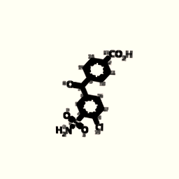 NS(=O)(=O)c1cc(C(=O)c2ccc(C(=O)O)cc2)ccc1Cl